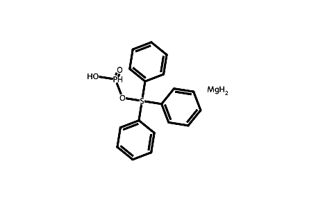 O=[PH](O)OS(c1ccccc1)(c1ccccc1)c1ccccc1.[MgH2]